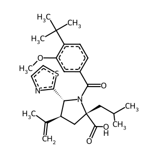 C=C(C)[C@@H]1C[C@@](CC(C)C)(C(=O)O)N(C(=O)c2ccc(C(C)(C)C)c(OC)c2)[C@H]1c1nccs1